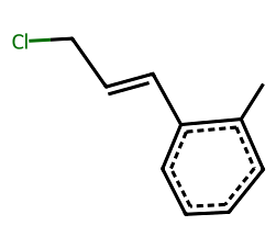 Cc1ccccc1/C=C/CCl